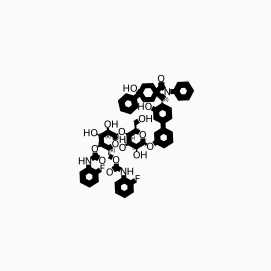 O=C(Nc1ccccc1F)OC[C@H]1O[C@@H](O[C@H]2[C@H](O)[C@@H](O)[C@H](Oc3cccc(-c4ccc([C@H]5N(c6ccccc6)C(=O)C56CCC(O)(c5ccccc5)CC6)c(O)c4)c3)O[C@@H]2CO)[C@H](O)[C@@H](O)[C@@H]1OC(=O)Nc1ccccc1F